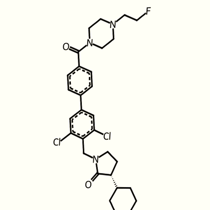 O=C(c1ccc(-c2cc(Cl)c(CN3CC[C@H](C4CCCCC4)C3=O)c(Cl)c2)cc1)N1CCN(CCF)CC1